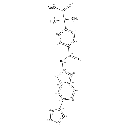 COC(=O)C(C)(C)c1ccc(C(=O)Nc2cn3cc(-c4ccoc4)ccc3n2)cc1